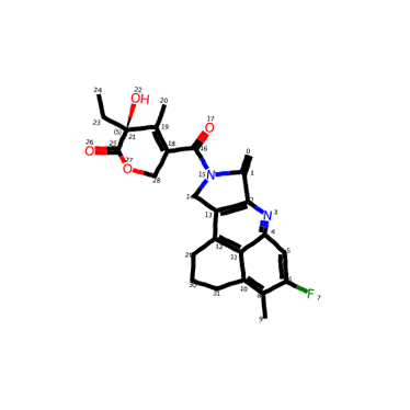 C=C1c2nc3cc(F)c(C)c4c3c(c2CN1C(=O)C1=C(C)[C@@](O)(CC)C(=O)OC1)CCC4